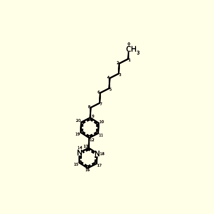 CCCCCCCCCc1ccc(-c2ncccn2)cc1